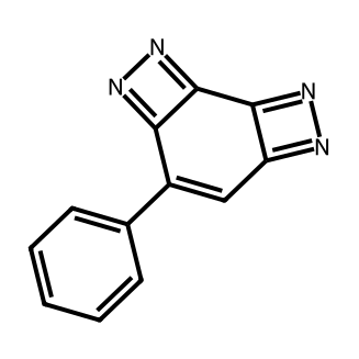 c1ccc(-c2cc3nnc3c3nnc23)cc1